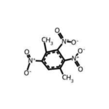 Cc1cc([N+](=O)[O-])c(C)c([N+](=O)[O-])c1[N+](=O)[O-]